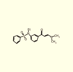 CCN(c1cccc(C(=O)/C=C/N(C)C)c1)S(=O)(=O)c1ccccc1